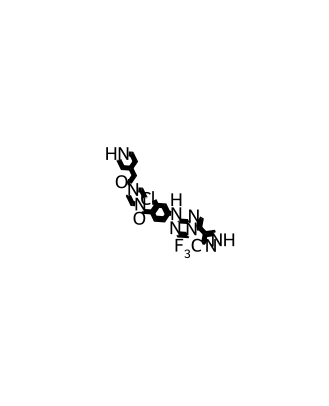 O=C(CC1CCNCC1)N1CCN(C(=O)c2ccc(Nc3nccn4c(-c5c[nH]nc5C(F)(F)F)cnc34)cc2Cl)CC1